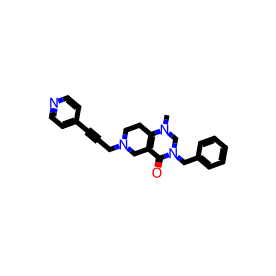 CN1CN(Cc2ccccc2)C(=O)C2=C1CCN(CC#Cc1ccncc1)C2